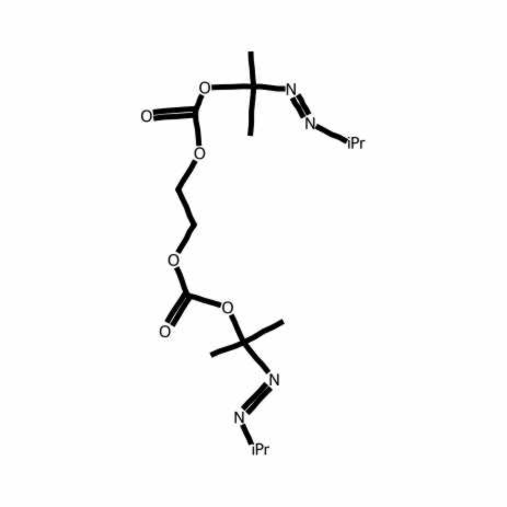 CC(C)N=NC(C)(C)OC(=O)OCCOC(=O)OC(C)(C)N=NC(C)C